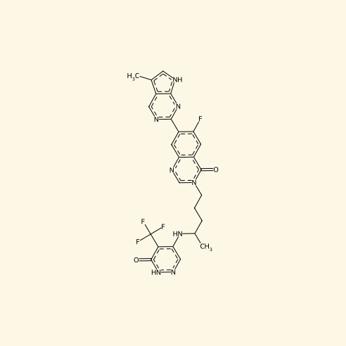 Cc1c[nH]c2nc(-c3cc4ncn(CCCC(C)Nc5cn[nH]c(=O)c5C(F)(F)F)c(=O)c4cc3F)ncc12